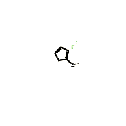 [F-].[F-].[Zr+2][C]1=CC=CC1